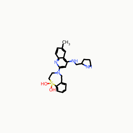 Cc1ccc2nc(N3CCS(O)(O)c4ccccc4C3)cc(NCC3CCCN3)c2c1